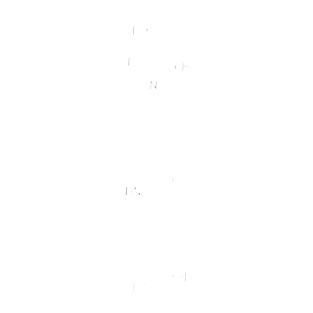 CCC(C)(C)N1Cc2ccc(C(=O)Nc3ccc(C(C)C)cc3)cc2C1